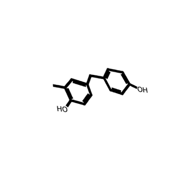 Cc1cc(Cc2ccc(O)cc2)ccc1O